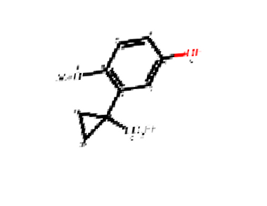 CCOC(=O)C1(c2cc(O)ccc2OC)CC1